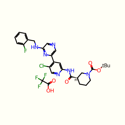 CC(C)(C)OC(=O)N1CCC[C@@H](C(=O)Nc2cc(-c3cncc(NCc4ccccc4F)n3)c(Cl)cn2)C1.O=C(O)C(F)(F)F